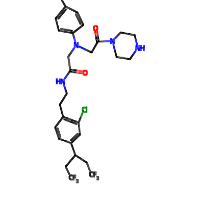 Cc1ccc(N(CC(=O)NCCc2ccc(C(CC(F)(F)F)CC(F)(F)F)cc2Cl)CC(=O)N2CCNCC2)cc1